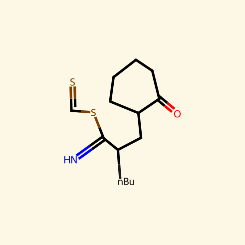 [CH2]CCCC(CC1CCCCC1=O)C(=N)SC=S